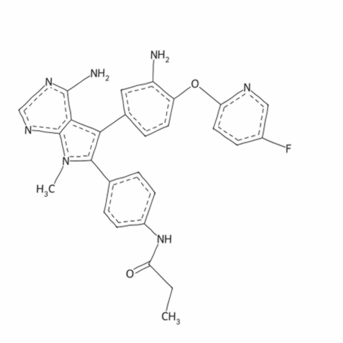 CCC(=O)Nc1ccc(-c2c(-c3ccc(Oc4ccc(F)cn4)c(N)c3)c3c(N)ncnc3n2C)cc1